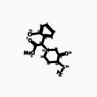 COC(=O)C(c1ccccc1Cl)N1CCC(SC(C)=O)C(=O)C1